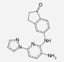 Nc1ccc(-n2cccn2)nc1Nc1ccc2c(c1)CCC2=O